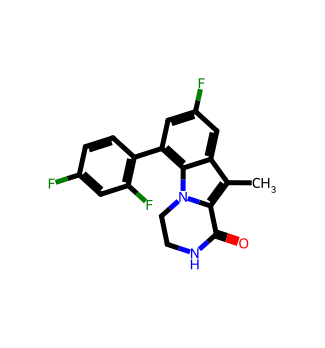 Cc1c2n(c3c(-c4ccc(F)cc4F)cc(F)cc13)CCNC2=O